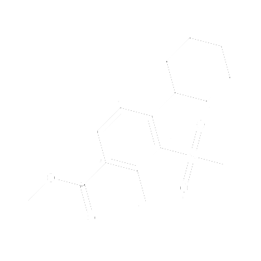 COC(=O)c1ccc(C2CCCCC2)c(S(C)(=O)=O)c1C